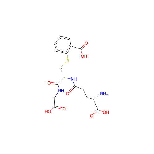 N[C@@H](CCC(=O)N[C@@H](CSc1ccccc1C(=O)O)C(=O)NCC(=O)O)C(=O)O